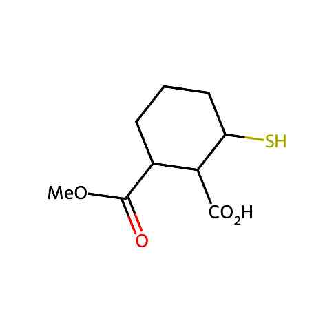 COC(=O)C1CCCC(S)C1C(=O)O